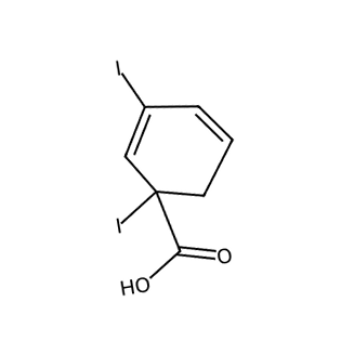 O=C(O)C1(I)C=C(I)C=CC1